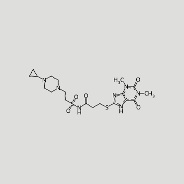 Cn1c(=O)c2[nH]c(SCCC(=O)NS(=O)(=O)CCN3CCN(C4CC4)CC3)nc2n(C)c1=O